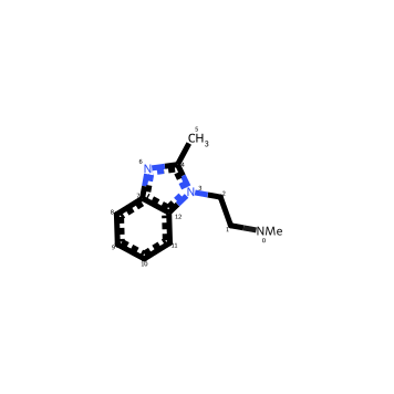 CNCCn1c(C)nc2ccccc21